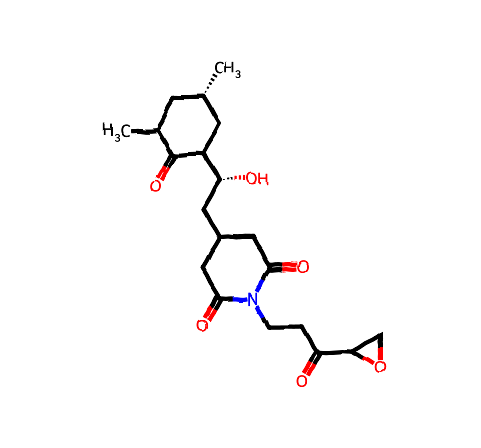 CC1C[C@H](C)CC([C@H](O)CC2CC(=O)N(CCC(=O)C3CO3)C(=O)C2)C1=O